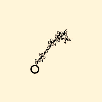 CSCC(=O)NCCN(CCNC(=O)CSC)C(=O)C(CCC(=O)O)NC(=O)CC[C@H](NC(=O)COCCOCCNC(=O)CCCNC(=O)CSC1CCCCCCCCCCCCC1)C(=O)O